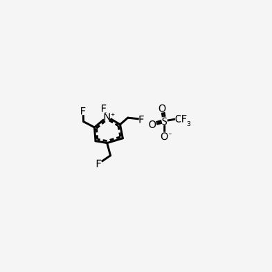 FCc1cc(CF)[n+](F)c(CF)c1.O=S(=O)([O-])C(F)(F)F